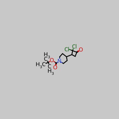 CC(C)(C)OC(=O)N1CCC(C2CC(=O)C2(Cl)Cl)CC1